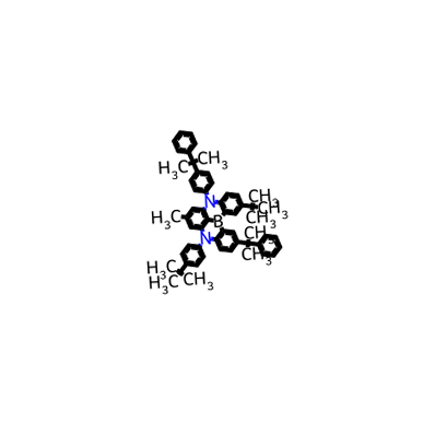 Cc1cc2c3c(c1)N(c1ccc(C(C)(C)C)cc1)c1ccc(C(C)(C)c4ccccc4)cc1B3c1cc(C(C)(C)C)ccc1N2c1ccc(C(C)(C)c2ccccc2)cc1